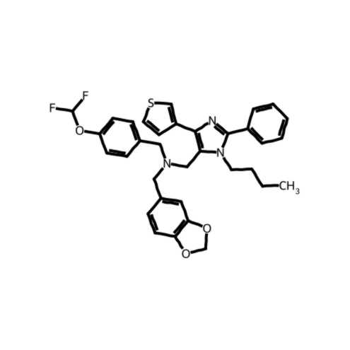 CCCCn1c(-c2ccccc2)nc(-c2ccsc2)c1CN(Cc1ccc(OC(F)F)cc1)Cc1ccc2c(c1)OCO2